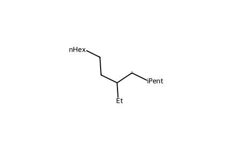 CCCCCCCCC([CH]C(C)CCC)CC